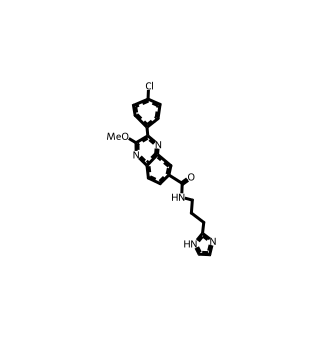 COc1nc2ccc(C(=O)NCCCc3ncc[nH]3)cc2nc1-c1ccc(Cl)cc1